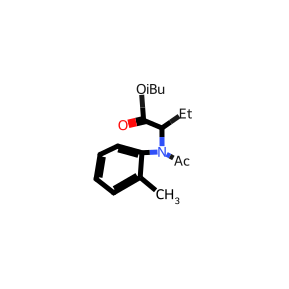 CCC(C(=O)OCC(C)C)N(C(C)=O)c1ccccc1C